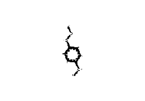 COSc1ccc(OC)cc1